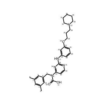 Cc1cc(C)cc(CN(C(=O)O)c2ccnc(Nc3cccc(OCCCN4CCCCC4)c3)n2)c1